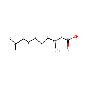 CC(C)CCCCCC(N)CC(=O)O